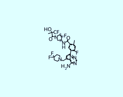 Cc1cc(F)c(-c2cc(CN3CCC(F)(F)CC3)c3c(N)ncnn23)cc1C(=O)N[C@@H]1CN(C(=O)C(C)(O)C(F)(F)F)C[C@@H]1F